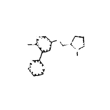 CN1CCC[C@@H]1COc1cnc(Cl)c(-c2ncccn2)c1